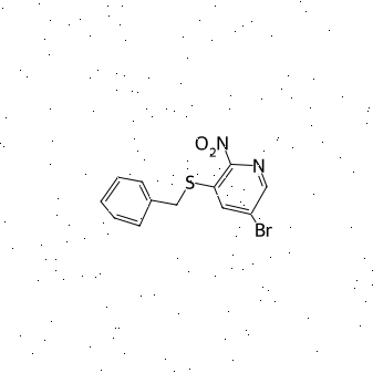 O=[N+]([O-])c1ncc(Br)cc1SCc1ccccc1